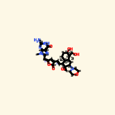 Cn1c(/C=C2C=C(/C=C/C3C4(CO4)C(N4CCOCC4)CC4[C@]3(C)CC[C@@H](O)[C@@]4(C)CO)C(=O)O\2)nc2c(=O)[nH]c(N)nc21